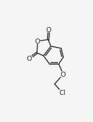 O=C1OC(=O)c2cc(OCCl)ccc21